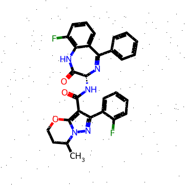 CC1CCOc2c(C(=O)N[C@H]3N=C(c4ccccc4)c4cccc(F)c4NC3=O)c(-c3ccccc3F)nn21